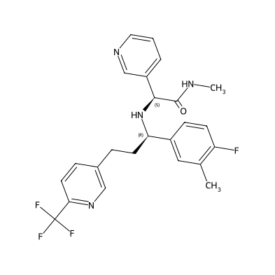 CNC(=O)[C@@H](N[C@H](CCc1ccc(C(F)(F)F)nc1)c1ccc(F)c(C)c1)c1cccnc1